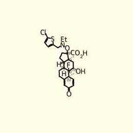 CCN(Cc1ccc(Cl)s1)O[C@]1(C(=O)O)CC[C@H]2[C@@H]3CCC4=CC(=O)C=C[C@]4(C)[C@@]3(F)[C@@H](O)C[C@@]21C